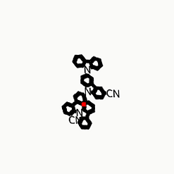 N#Cc1ccc2c(c1)c1cc(-n3c4ccccc4c4ccccc43)ccc1n2-c1ccc(-c2cccc(C#N)c2-n2c3ccccc3c3ccccc32)cc1